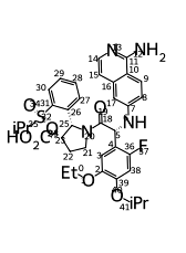 CCOc1cc([C@@H](Nc2ccc3c(N)nccc3c2)C(=O)N2CC[C@H](C(=O)O)[C@@H]2c2ccccc2S(=O)(=O)C(C)C)c(F)cc1OC(C)C